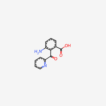 Nc1cccc(C(=O)O)c1C(=O)c1ccccn1